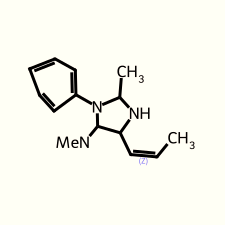 C/C=C\C1NC(C)N(c2ccccc2)C1NC